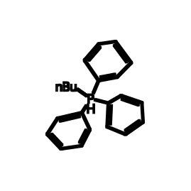 CCCC[PH](c1ccccc1)(c1ccccc1)c1ccccc1